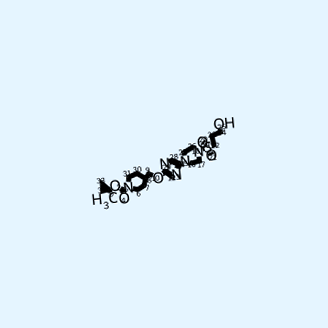 CC1(OC(=O)N2CCC(COc3cnc(N4CCN(S(=O)(=O)CCCO)CC4)cn3)CC2)CC1